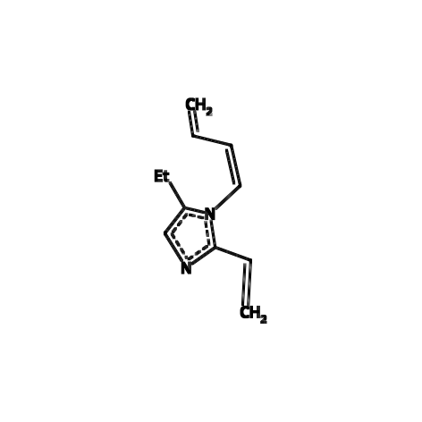 C=C/C=C\n1c(CC)cnc1C=C